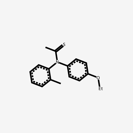 CCOc1ccc(N(C(C)=S)c2ccccc2C)cc1